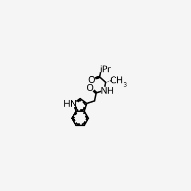 CC(C)C(=O)[C@H](C)NC(=O)Cc1c[nH]c2ccccc12